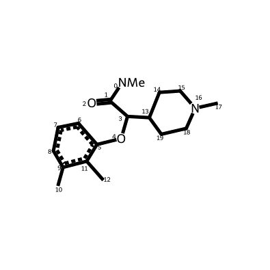 CNC(=O)C(Oc1cccc(C)c1C)C1CCN(C)CC1